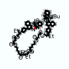 CCN(CCOC(=O)CCC(=O)OCCCCCC(=O)OCC(CC)(CC)COC(=O)CCCCCOC(=O)CCC(=O)OCCN(CC)c1ccc(-c2cc3c(c4ccccc24)OC2(C=N3)N(CC(C)(C)C)c3ccccc3C2(C)C)cc1)c1ccc(-c2cc3c(c4ccccc24)OC2(C=N3)N(CC(C)(C)C)c3ccccc3C2(C)C)cc1